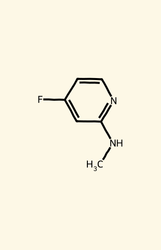 CNc1cc(F)ccn1